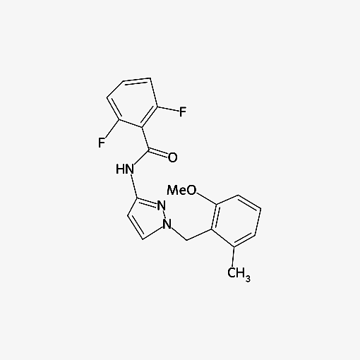 COc1cccc(C)c1Cn1ccc(NC(=O)c2c(F)cccc2F)n1